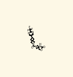 O=C1NC2(CO1)CN(C(=O)N1CC3(CC(c4cnc(C(F)(F)F)nc4)C3)C1)C2